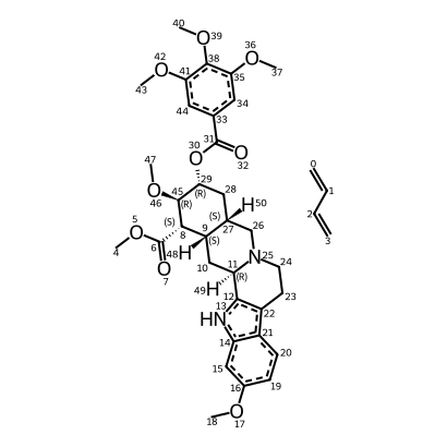 C=CC=C.COC(=O)[C@H]1[C@H]2C[C@@H]3c4[nH]c5cc(OC)ccc5c4CCN3C[C@H]2C[C@@H](OC(=O)c2cc(OC)c(OC)c(OC)c2)[C@@H]1OC